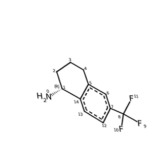 N[C@@H]1CCCc2cc(C(F)(F)F)ccc21